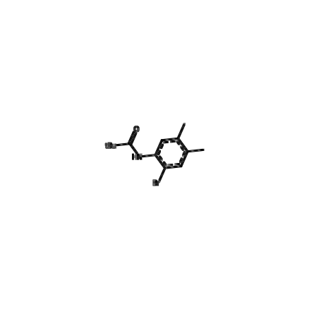 Cc1cc(Br)c(NC(=O)C(C)(C)C)cc1C